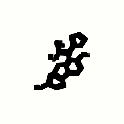 C[Si](C)=[Zr]([C]1=CC=CC1)[c]1c(C(C)(C)C)ccc2c1Cc1cc(C(C)(C)C)ccc1-2